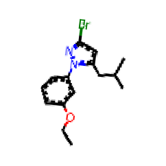 CCOc1cccc(-n2nc(Br)cc2CC(C)C)c1